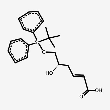 CC(C)(C)[Si](OC[C@@H](O)C/C=C/C(=O)O)(c1ccccc1)c1ccccc1